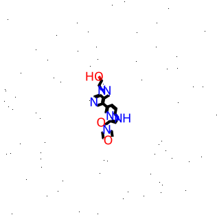 O=C(C1=CNC2C=CC(c3cncc4c3cnn4CCO)=CN12)N1CCOCC1